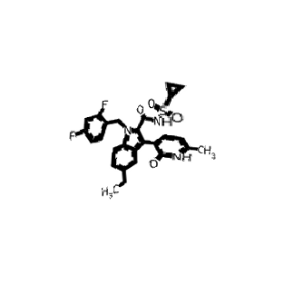 CCc1ccc2c(c1)c(-c1ccc(C)[nH]c1=O)c(C(=O)NS(=O)(=O)C1CC1)n2Cc1ccc(F)cc1F